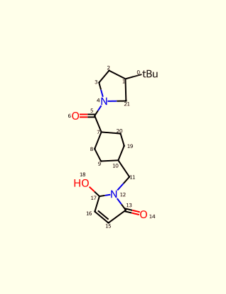 CC(C)(C)C1CCN(C(=O)C2CCC(CN3C(=O)C=CC3O)CC2)C1